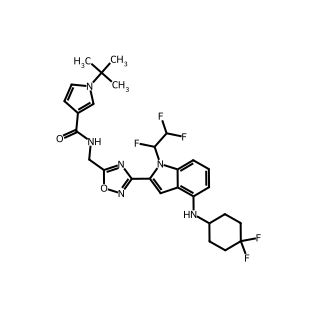 CC(C)(C)n1ccc(C(=O)NCc2nc(-c3cc4c(NC5CCC(F)(F)CC5)cccc4n3C(F)C(F)F)no2)c1